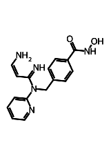 N=C(/C=C\N)N(Cc1ccc(C(=O)NO)cc1)c1ccccn1